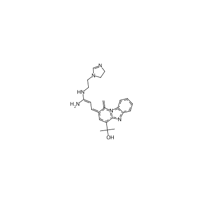 C=c1/c(=C\C=C(/N)NCCN2C=NCC2)cc(C(C)(C)O)c2nc3ccccc3n12